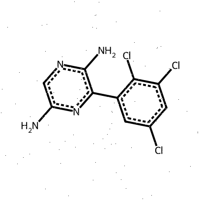 Nc1cnc(N)c(-c2cc(Cl)cc(Cl)c2Cl)n1